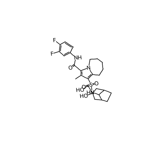 Cc1c(S(=O)(=O)NC2C3CCC2CC(O)(CO)C3)c2n(c1C(=O)Nc1ccc(F)c(F)c1)CCCCC2